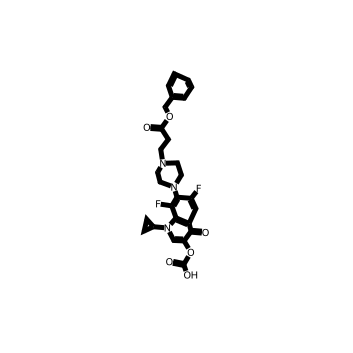 O=C(O)Oc1cn(C2CC2)c2c(F)c(N3CCN(CCC(=O)OCc4ccccc4)CC3)c(F)cc2c1=O